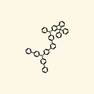 c1ccc(-c2ccc(N(c3ccc(-c4ccccc4)cc3)c3ccc(-c4cccc(-c5ccc(N(c6ccccc6)c6ccc7c(c6)C(c6ccccc6)(c6ccccc6)c6ccccc6-7)cc5)c4)cc3)cc2)cc1